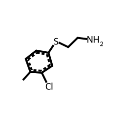 Cc1ccc(SCCN)cc1Cl